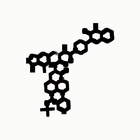 Cc1cc(C[C@H](NC(=O)N2CCC(c3cc4ccccc4[nH]c3=O)CC2)C(=O)N[C@H](CC2CCN(C(=O)OC(C)(C)C)CC2)C(=O)N2CCN(c3ccncc3)CC2)cc2cn[nH]c12